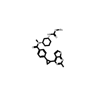 Cc1nc(C2CC2c2ccc(C(=O)N(C)[C@@H]3CCC[C@@H](NC(=O)OC(C)(C)C)C3)cc2)c2ccsc2n1